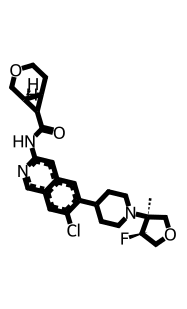 C[C@]1(N2CCC(c3cc4cc(NC(=O)C5[C@H]6CCOC[C@H]56)ncc4cc3Cl)CC2)COC[C@H]1F